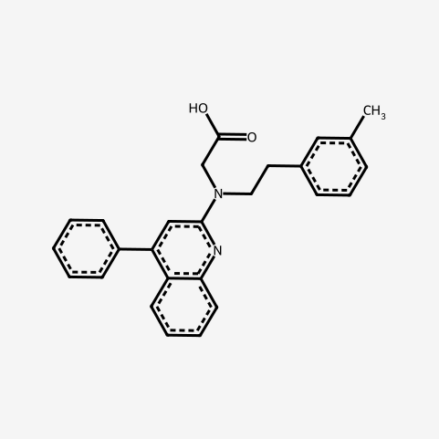 Cc1cccc(CCN(CC(=O)O)c2cc(-c3ccccc3)c3ccccc3n2)c1